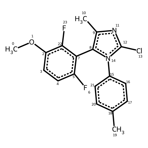 COc1ccc(F)c(-c2c(C)nc(Cl)n2-c2ccc(C)cc2)c1F